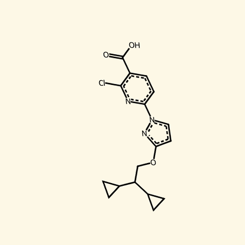 O=C(O)c1ccc(-n2ccc(OCC(C3CC3)C3CC3)n2)nc1Cl